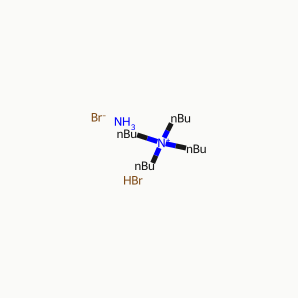 Br.CCCC[N+](CCCC)(CCCC)CCCC.N.[Br-]